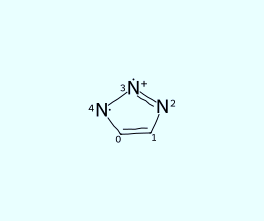 C1=CN=[N+][N]1